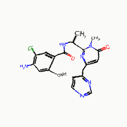 COc1cc(N)c(Cl)cc1C(=O)NC(C)c1nc(-c2ccncn2)cc(=O)n1C